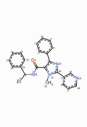 CCC(NC(=O)c1c(-c2ccccc2)nc(-c2cccnc2)n1C)c1ccccc1